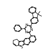 CC1(C)c2ccccc2-c2cc(-c3nc(-c4ccccc4)nc(-c4cccc5cc6sc7c(c6cc45)CCC=C7)n3)ccc21